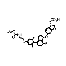 Cc1cc(OCCNC(=O)OC(C)(C)C)cc(C)c1-c1ccc(F)c2c1CC[C@H]2Oc1ccc2c(c1)OC[C@H]2CC(=O)O